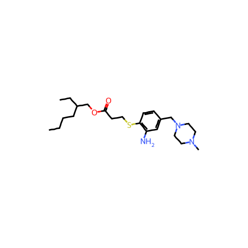 CCCCC(CC)COC(=O)CCSc1ccc(CN2CCN(C)CC2)cc1N